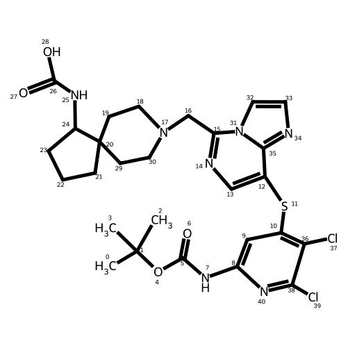 CC(C)(C)OC(=O)Nc1cc(Sc2cnc(CN3CCC4(CCCC4NC(=O)O)CC3)n3ccnc23)c(Cl)c(Cl)n1